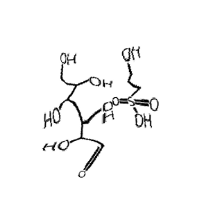 O=CC(O)C(O)C(O)C(O)CO.O=S(=O)(O)CCO